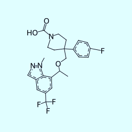 CC(OCC1(c2ccc(F)cc2)CCN(C(=O)O)CC1)c1cc(C(F)(F)F)cc2cnn(C)c12